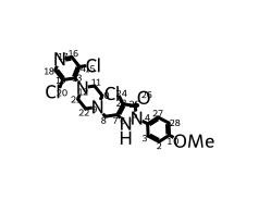 COc1ccc(-n2[nH]c(CN3CCN(c4c(Cl)cncc4Cl)CC3)c(Cl)c2=O)cc1